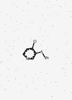 CC(C)Sc1cnccc1Cl